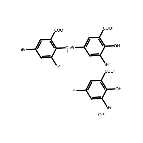 CC(C)c1cc(C(=O)[O-])c(O)c(C(C)C)c1.CC(C)c1cc(C(=O)[O-])c(O)c(C(C)C)c1.CC(C)c1cc(C(=O)[O-])c(O)c(C(C)C)c1.[Cr+3]